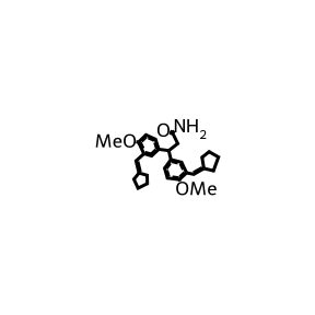 COc1ccc(C(CC(N)=O)c2ccc(OC)c(C=C3CCCC3)c2)cc1C=C1CCCC1